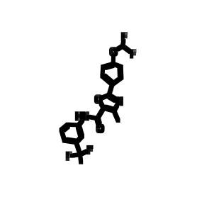 Cc1nc(-c2ccc(OC(F)F)cc2)oc1C(=O)Nc1cccc(C(C)(F)F)c1